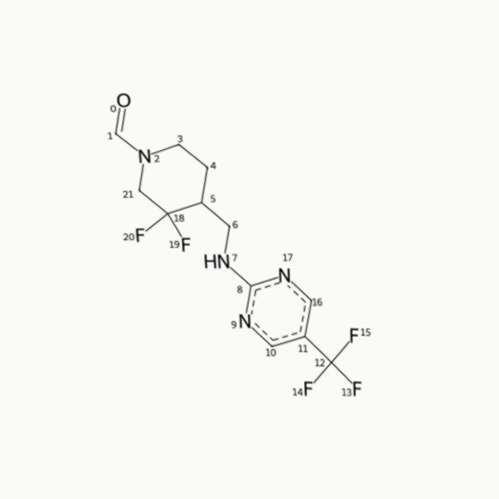 O=CN1CCC(CNc2ncc(C(F)(F)F)cn2)C(F)(F)C1